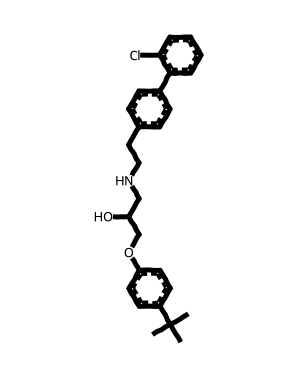 CC(C)(C)c1ccc(OCC(O)CNCCc2ccc(-c3ccccc3Cl)cc2)cc1